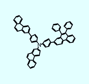 c1ccc(-c2c(-c3ccccc3)c3cc(-c4ccc(N(c5ccc(-c6ccc7c(ccc8ccccc87)c6)cc5)c5ccc6c(ccc7ccccc76)c5)cc4)ccc3c3ccccc23)cc1